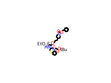 CCOC(=O)[C@@H](COCCCC1CCN(C(=O)OCc2ccccc2)CC1)NC1CSc2ccccc2N(CC(=O)OC(C)(C)C)C1=O